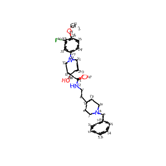 O=C(NCCC1CCN(Cc2ccccc2)CC1)C1(O)CCN(c2ccc(OC(F)(F)F)c(F)c2)CC1